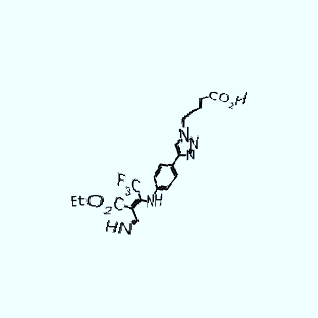 CCOC(=O)/C(C=N)=C(/Nc1ccc(-c2cn(CCCC(=O)O)nn2)cc1)C(F)(F)F